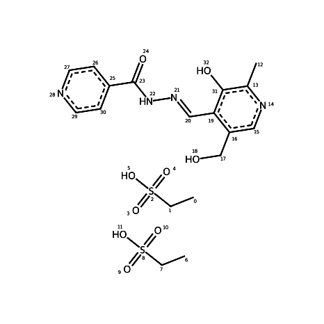 CCS(=O)(=O)O.CCS(=O)(=O)O.Cc1ncc(CO)c(C=NNC(=O)c2ccncc2)c1O